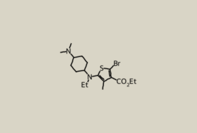 CCOC(=O)c1c(Br)sc(N(CC)C2CCC(N(C)C)CC2)c1C